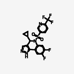 O=S(=O)(c1ccc(C(F)(F)F)nc1)N1c2cc(F)c(F)cc2-c2[nH]ncc2C1C1CC1